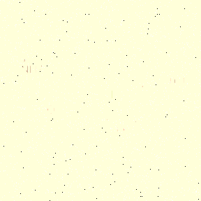 CCCc1ccc(Oc2ccc(OC[C@H](C)NC(C)=O)cc2)c(Cl)c1